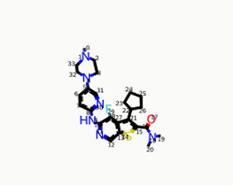 CN1CCN(c2ccc(Nc3ncc4sc(C(=O)N(C)C)c(C5CCCC5)c4c3F)nc2)CC1